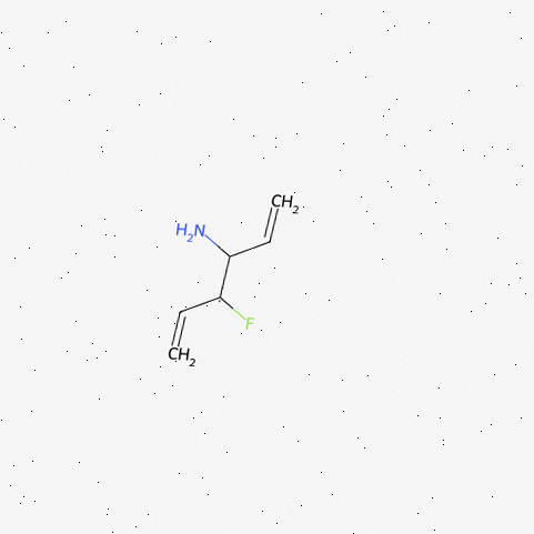 C=C[C](F)C(N)C=C